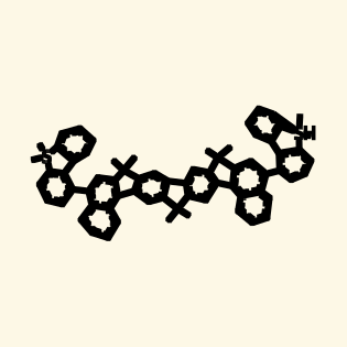 CC1(C)c2cc3c(cc2-c2cc4c(cc21)-c1c(cc(-c2cccc5c2-c2cccc6c2[SH]56(C)C)c2ccccc12)C4(C)C)C(C)(C)c1cc(-c2cccc4c2-c2ccccc2S4(C)C)c2ccccc2c1-3